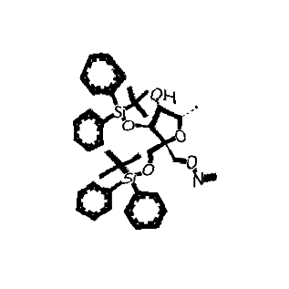 C=NOC[C@]1(CO[Si](c2ccccc2)(c2ccccc2)C(C)(C)C)O[C@@H](C)[C@@H](O)[C@@H]1O[Si](c1ccccc1)(c1ccccc1)C(C)(C)C